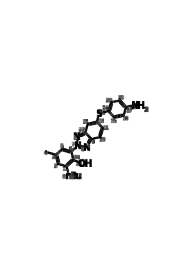 CCCCc1cc(C)cc(-n2nc3ccc(Sc4ccc(N)cc4)cc3n2)c1O